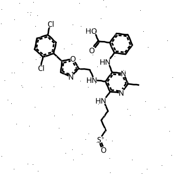 Cc1nc(NCCC[S+]=O)c(NCc2ncc(-c3cc(Cl)ccc3Cl)o2)c(Nc2ccccc2C(=O)O)n1